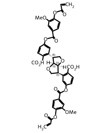 C=CC(=O)Oc1ccc(C(=O)Oc2ccc(C(=O)O)c([C@H]3CO[C@@H]4[C@H]3OC[C@H]4c3cc(OC(=O)c4ccc(OC(=O)C=C)c(OC)c4)ccc3C(=O)O)c2)cc1OC